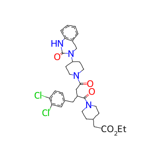 CCOC(=O)CC1CCN(C(=O)C(CC(=O)N2CCC(N3Cc4ccccc4NC3=O)CC2)Cc2ccc(Cl)c(Cl)c2)CC1